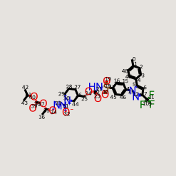 Cc1ccc(-c2cc(C(F)(F)F)nn2-c2ccc(S(=O)(=O)NC(=O)OCC3CCCN([N+]([O-])=NOC(C)OC(=O)OC(C)C)C3)cc2)cc1